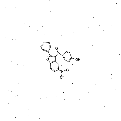 O=C(c1ccc(O)cc1)c1c(-c2ccccc2)oc2ccc([N+](=O)[O-])cc12